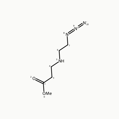 COC(=O)CCNCCN=[N+]=[N-]